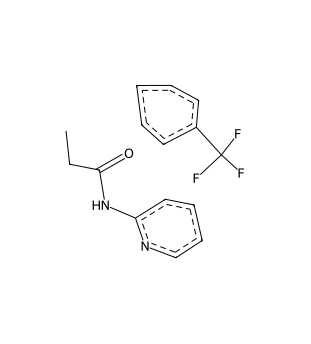 CCC(=O)Nc1ccccn1.FC(F)(F)c1ccccc1